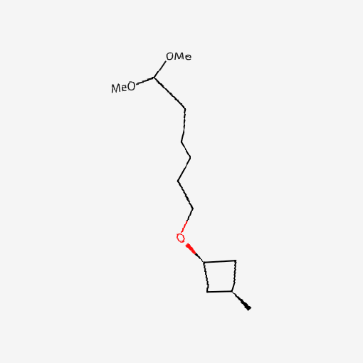 COC(CCCCCO[C@H]1C[C@@H](C)C1)OC